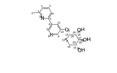 Cc1cccc(-c2cncc(O[C@H]3SC[C@@H](O)[C@H](O)[C@H]3O)c2)n1